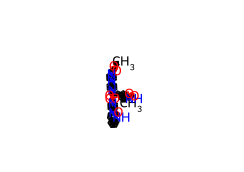 CCOC(=O)CN1CCN(C2CCN(C(=O)C(Cc3cc(C)c4[nH]c(=O)oc4c3)OC(=O)N3CCC(N4CCc5ccccc5NC4=O)CC3)CC2)CC1